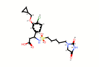 O=C(O)CC(NS(=O)(=O)CCCCCN1CC(=O)NC1=O)c1ccc(Cl)c(OCC2CC2)c1